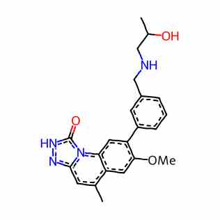 COc1cc2c(C)cc3n[nH]c(=O)n3c2cc1-c1cccc(CNCC(C)O)c1